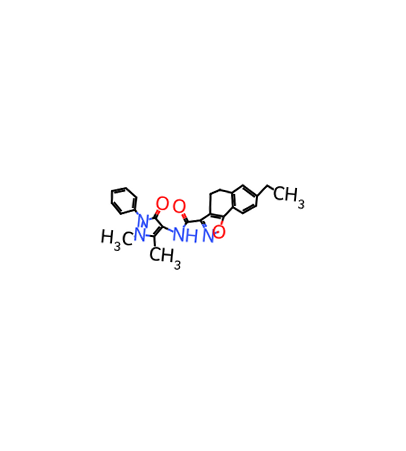 CCc1ccc2c(c1)CCc1c(C(=O)Nc3c(C)n(C)n(-c4ccccc4)c3=O)noc1-2